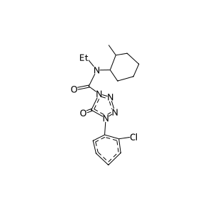 CCN(C(=O)n1nnn(-c2ccccc2Cl)c1=O)C1CCCCC1C